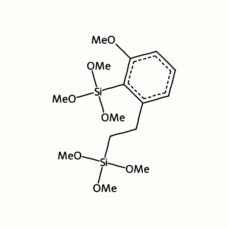 COc1cccc(CC[Si](OC)(OC)OC)c1[Si](OC)(OC)OC